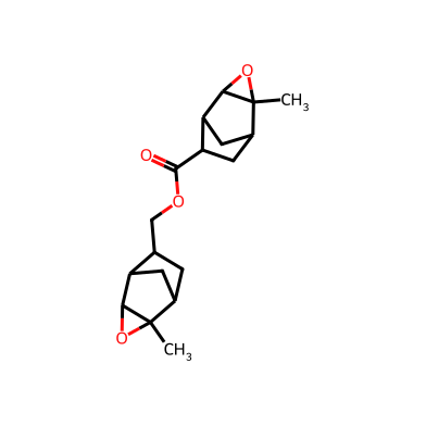 CC12OC1C1CC2CC1COC(=O)C1CC2CC1C1OC21C